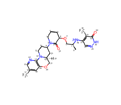 C[C@@H](COC1CCCN(C2CCN3c4ncc(C(F)(F)F)cc4OC[C@@H]3C2)C1=O)Nc1cn[nH]c(=O)c1C(F)(F)F